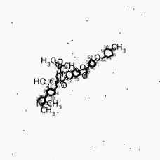 Cc1nc(C(=O)N2Cc3cc4c(cc3C[C@H]2C(=O)NC(Cc2ccc(-c3ccnc(C)c3C)cc2)C(=O)O)OC[C@H](c2ccc(OCC3CCC(C)CC3)cc2)O4)c(C)o1